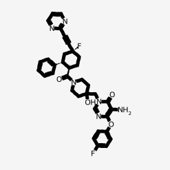 Nc1c(Oc2ccc(F)cc2)ncn(CC2(O)CCN(C(=O)[C@@H]3CC[C@](F)(C#Cc4ncccn4)C[C@H]3c3ccccc3)CC2)c1=O